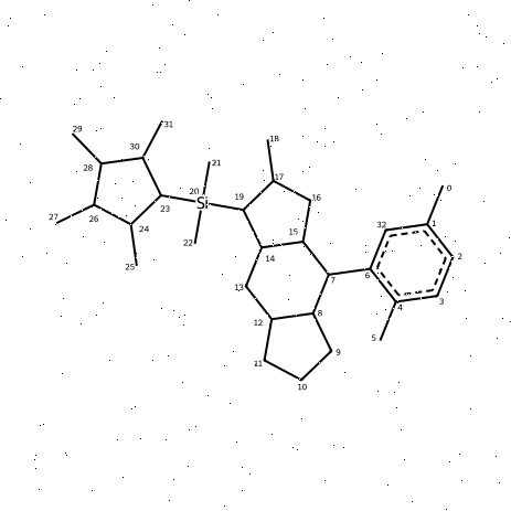 Cc1ccc(C)c(C2C3CCCC3CC3C2CC(C)C3[Si](C)(C)C2C(C)C(C)C(C)C2C)c1